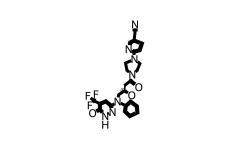 N#Cc1ccc(N2CCN(C(=O)C[C@@H]3CN(c4cc(C(F)(F)F)c(=O)[nH]n4)c4ccccc4O3)CC2)nc1